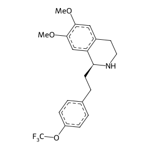 COc1cc2c(cc1OC)[C@H](CCc1ccc(OC(F)(F)F)cc1)NCC2